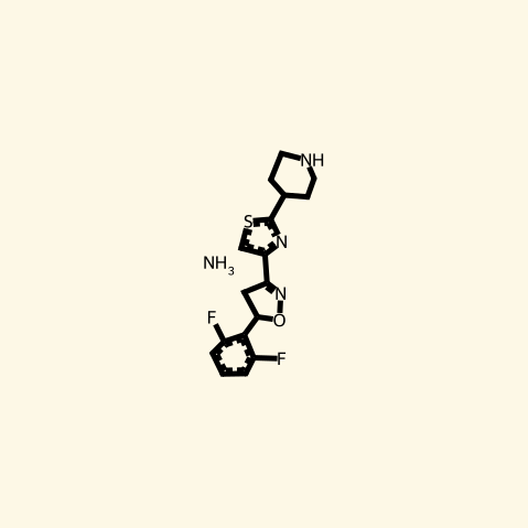 Fc1cccc(F)c1C1CC(c2csc(C3CCNCC3)n2)=NO1.N